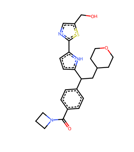 O=C(c1ccc(C(CC2CCOCC2)c2ccc(-c3ncc(CO)s3)[nH]2)cc1)N1CCC1